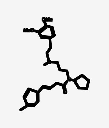 COc1ccc(CCN(C)CCCN(C(=O)C/C=C/c2ccc(C)cc2)C2CCCC2)cc1OC